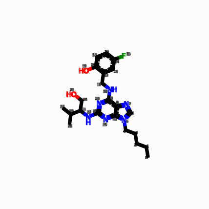 CCCCCn1cnc2c(NCc3cc(F)ccc3O)nc(NC(CO)C(C)C)nc21